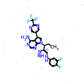 CCC(/C(=C/Nc1ccc(F)c(F)c1)N=N)n1cc(-c2cnc(C(F)(F)F)nc2)c2c(N)ncnc21